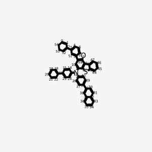 C1=CC(c2ccc3oc4c(cc(N(c5ccc(-c6ccccc6)cc5)c5ccc(-c6ccc7ccccc7c6)cc5)c5sc6ccccc6c54)c3c2)=CCC1